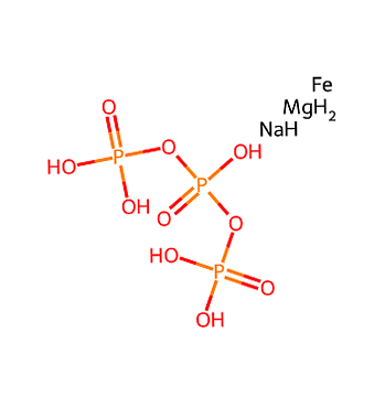 O=P(O)(O)OP(=O)(O)OP(=O)(O)O.[Fe].[MgH2].[NaH]